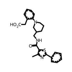 Cc1nc(-c2ccccc2)sc1C(=O)NCC1CCCN(c2ccccc2CC(=O)O)C1